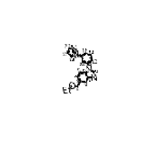 CCOCc1ccc2c(c1)ncn2-c1cccc(-n2cccn2)c1